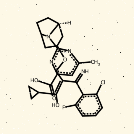 Cc1cc(C(=O)O)nc(N2C3CC[C@H]2CC(OC/C(C(=N)c2c(F)cccc2Cl)=C(/O)C2CC2)C3)n1